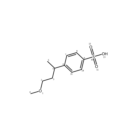 COCCC(C)c1ccc(S(=O)(=O)O)cc1